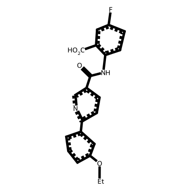 CCOc1cccc(-c2ccc(C(=O)Nc3ccc(F)cc3C(=O)O)cn2)c1